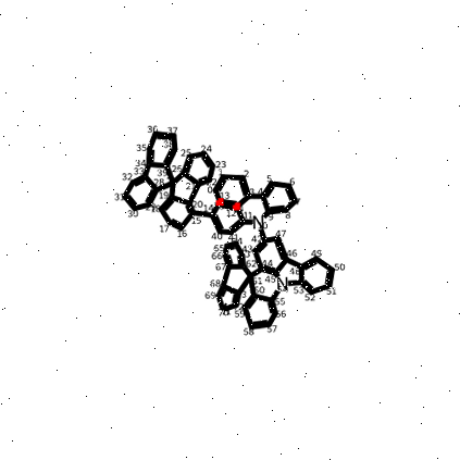 c1ccc(-c2ccccc2N(c2ccc(-c3cccc4c3-c3ccccc3C43c4ccccc4-c4ccccc43)cc2)c2cc3c4c(c2)c2ccccc2n4-c2ccccc2C32c3ccccc3-c3ccccc32)cc1